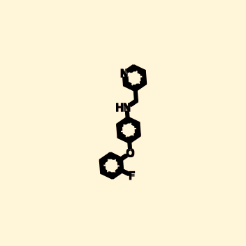 Fc1ccccc1Oc1ccc(NCc2cccnc2)cc1